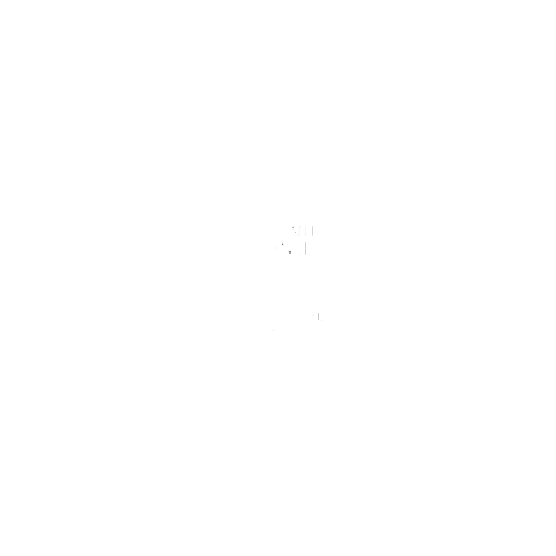 CCc1ccccc1.[AlH3].[NaH]